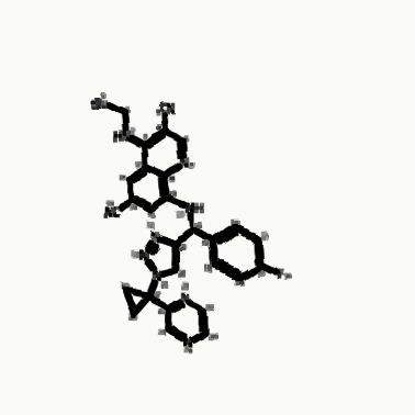 CC(C)(C)CNc1c(C#N)cnc2c(N[C@@H](c3ccc(F)cc3)c3cn(C4(c5cnccn5)CC4)nn3)cc(C#N)cc12